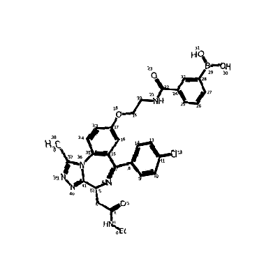 CCNC(=O)C[C@@H]1N=C(c2ccc(Cl)cc2)c2cc(OCCNC(=O)c3cccc(B(O)O)c3)ccc2-n2c(C)nnc21